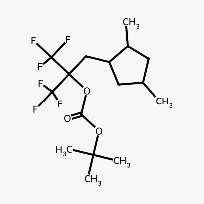 CC1CC(C)C(CC(OC(=O)OC(C)(C)C)(C(F)(F)F)C(F)(F)F)C1